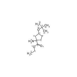 CCOC(=O)C1(N)CCC(OC(C)(C)C)C1